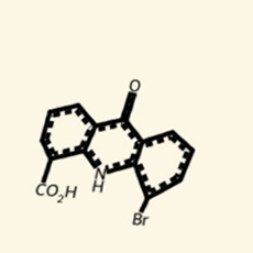 O=C(O)c1cccc2c(=O)c3cccc(Br)c3[nH]c12